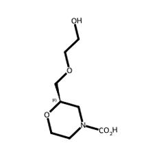 O=C(O)N1CCO[C@@H](COCCO)C1